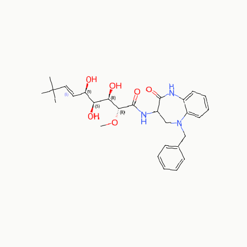 CO[C@@H](C(=O)NC1CN(Cc2ccccc2)c2ccccc2NC1=O)[C@H](O)[C@@H](O)[C@H](O)/C=C/C(C)(C)C